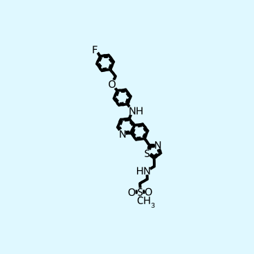 CS(=O)(=O)CCNCc1cnc(-c2ccc3c(Nc4ccc(OCc5ccc(F)cc5)cc4)ccnc3c2)s1